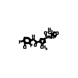 Cn1cc([S+]([O-])NC2(C)COC2)cc1C(=O)Nc1ccc(F)c(Cl)c1F